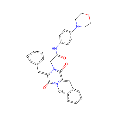 Cn1c(=O)c(=Cc2ccccc2)n(CC(=O)Nc2ccc(N3CCOCC3)cc2)c(=O)c1=Cc1ccccc1